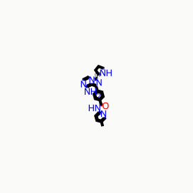 Cc1ccc(NC(=O)c2ccc(-c3nc([C@@H]4CCCN4)n4ccnc(N)c34)cc2)nc1